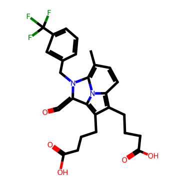 Cc1ccc2c(CCCC(=O)O)c(CCCC(=O)O)c3c(=C=O)n(Cc4cccc(C(F)(F)F)c4)c1n23